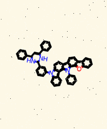 C1=C(c2ccccc2)NC(c2cccc(-n3c4ccccc4c4c3ccc3c5ccc6c7ccccc7oc6c5n(-c5ccccc5)c34)c2)NC1c1ccccc1